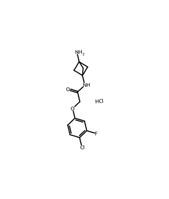 Cl.NC12CC(NC(=O)COc3ccc(Cl)c(F)c3)(C1)C2